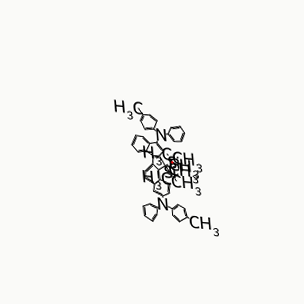 Cc1ccc(N(c2ccccc2)c2ccc3c4c(ccc3c2)-c2c(cc(N(c3ccccc3)c3ccc(C)cc3)c3ccccc23)C4([Si](C)(C)C)[Si](C)(C)C)cc1